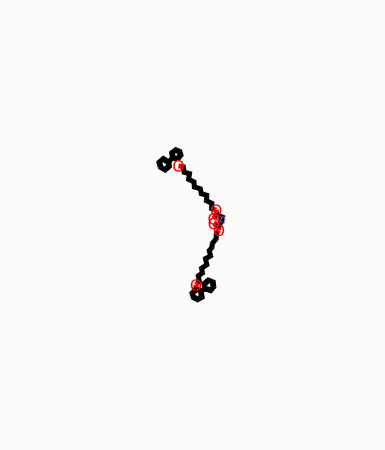 O=C(/C=C\C(=O)OCCCCCCCCCCCCOc1ccccc1-c1ccccc1)OCCCCCCCCCCCCOc1ccccc1-c1ccccc1